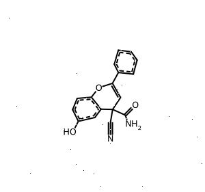 N#CC1(C(N)=O)C=C(c2ccccc2)Oc2ccc(O)cc21